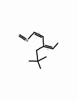 C=N/C=C\C(=C/C)CC(C)(C)C